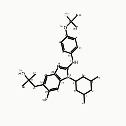 CC1CC(C)CC(n2c(Nc3ccc(OC(F)(F)F)cc3)nc3cc(CC(C)(C)O)c(F)cc32)C1